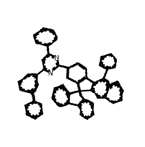 C1=CC(c2nc(-c3ccccc3)cc(-c3cccc(-c4ccccc4)c3)n2)CC2=C1c1c(cc3ccccc3c1-c1ccccc1)C21c2ccccc2-c2ccccc21